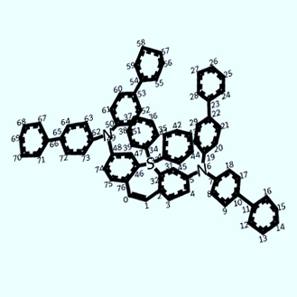 C1=Cc2ccc(N(c3ccc(-c4ccccc4)cc3)c3ccc(-c4ccccc4)cc3)cc2S(c2ccccc2)(c2ccccc2)c2cc(N(c3ccc(-c4ccccc4)cc3)c3ccc(-c4ccccc4)cc3)ccc21